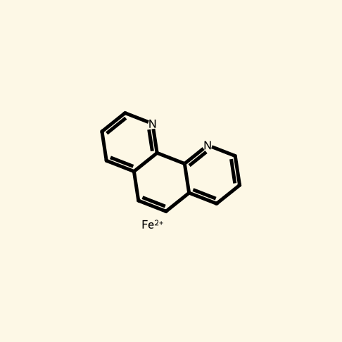 [Fe+2].c1cnc2c(c1)ccc1cccnc12